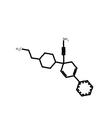 CCCC1CCC(C2(C#C[SiH3])C=CC(c3ccccc3)=CC2)CC1